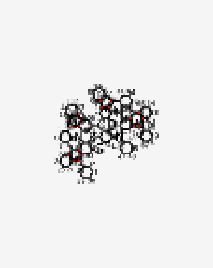 c1ccc(-c2cccc(-c3ccccc3)c2N2c3cc(N(c4ccccc4)c4ccccc4)cc4c3B(c3cc5c(cc3S4)N(c3ccccc3)c3cc(N(c4ccccc4)c4ccccc4)cc4c3B5c3ccc5c(sc6ccccc65)c3N4c3c(-c4ccccc4)cccc3-c3ccccc3)c3ccc4c(oc5ccccc54)c32)cc1